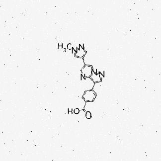 Cn1cc(-c2cnc3c(-c4ccc(C(=O)O)cc4)cnn3c2)cn1